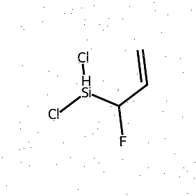 C=CC(F)[SiH](Cl)Cl